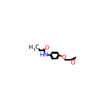 CCC(=O)Nc1ccc(OCC2CO2)cc1